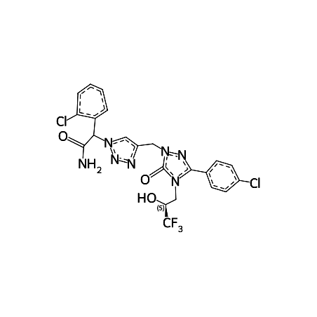 NC(=O)C(c1ccccc1Cl)n1cc(Cn2nc(-c3ccc(Cl)cc3)n(C[C@H](O)C(F)(F)F)c2=O)nn1